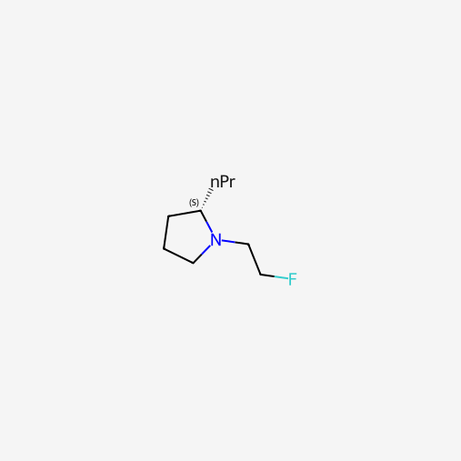 CCC[C@H]1CCCN1CCF